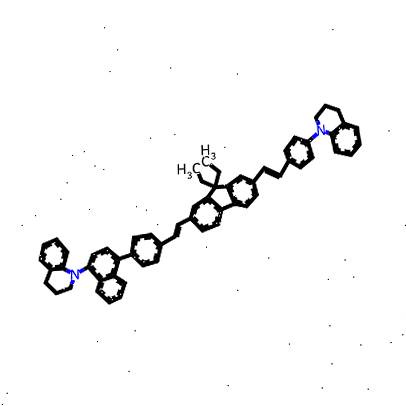 CCC1(CC)c2cc(/C=C/c3ccc(-c4ccc(N5CCCc6ccccc65)c5ccccc45)cc3)ccc2-c2ccc(/C=C/c3ccc(N4CCCc5ccccc54)cc3)cc21